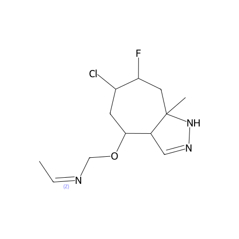 C/C=N\COC1CC(Cl)C(F)CC2(C)NN=CC12